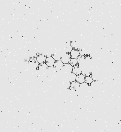 C=Cc1cc2c(cc1Cc1nc3c(N)nc(F)nc3n1CCC1CCN(C(=O)[C@H](C)O)CC1)OCO2